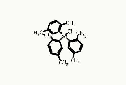 Cc1ccc(C)[c]([Sn]([Cl])([c]2cc(C)ccc2C)[c]2cc(C)ccc2C)c1